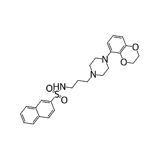 O=S(=O)(NCCCN1CCN(c2cccc3c2OCCO3)CC1)c1ccc2ccccc2c1